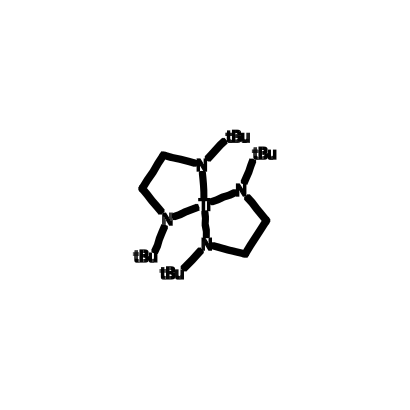 CC(C)(C)[N]1CC[N](C(C)(C)C)[Ti]12[N](C(C)(C)C)CC[N]2C(C)(C)C